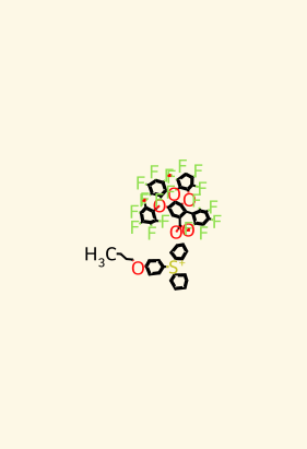 CCCCOc1ccc([S+](c2ccccc2)c2ccccc2)cc1.O=C([O-])c1cc(Oc2c(F)c(F)c(F)c(F)c2F)c(Oc2c(F)c(F)c(F)c(F)c2F)c(Oc2c(F)c(F)c(F)c(F)c2F)c1-c1c(F)c(F)c(F)c(F)c1F